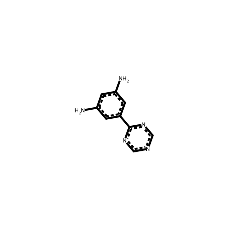 Nc1cc(N)cc(-c2ncncn2)c1